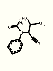 CC(=O)N(c1ccccc1)C(C#N)C(C)C